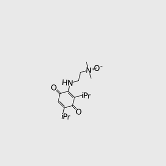 CC(C)C1=CC(=O)C(NCC[N+](C)(C)[O-])=C(C(C)C)C1=O